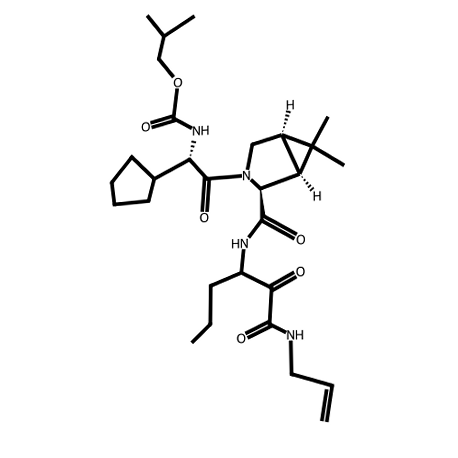 C=CCNC(=O)C(=O)C(CCC)NC(=O)[C@@H]1[C@H]2[C@@H](CN1C(=O)[C@@H](NC(=O)OCC(C)C)C1CCCC1)C2(C)C